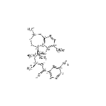 C=C(C)[C@@]12CCN(C)Cc3ccc(OC)c(c31)OC2C[C@H](C)OC(=O)c1cccc(C)c1